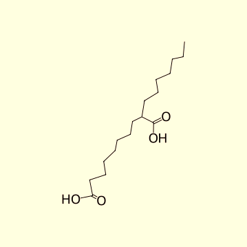 CCCCCCCC(CCCCCCCC(=O)O)C(=O)O